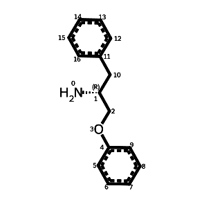 N[C@@H](COc1ccccc1)Cc1ccccc1